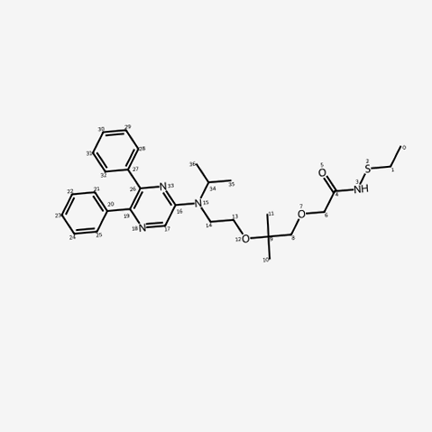 CCSNC(=O)COCC(C)(C)OCCN(c1cnc(-c2ccccc2)c(-c2ccccc2)n1)C(C)C